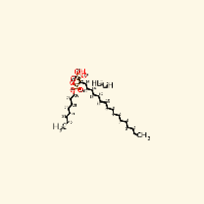 CCCCCCCCCCCCCCCCCC(S(=O)(=O)O)S(=O)(=O)OCCCCCCCC.[LiH].[LiH]